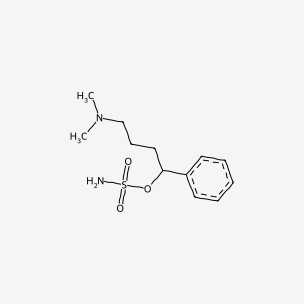 CN(C)CCCC(OS(N)(=O)=O)c1ccccc1